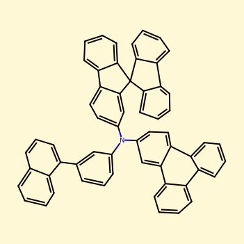 c1cc(-c2cccc3ccccc23)cc(N(c2ccc3c(c2)C2(c4ccccc4-c4ccccc42)c2ccccc2-3)c2ccc3c4ccccc4c4ccccc4c3c2)c1